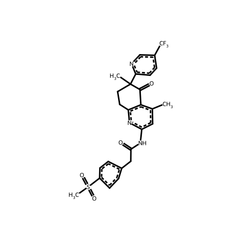 Cc1cc(NC(=O)Cc2ccc(S(C)(=O)=O)cc2)nc2c1C(=O)C(C)(c1ccc(C(F)(F)F)cn1)CC2